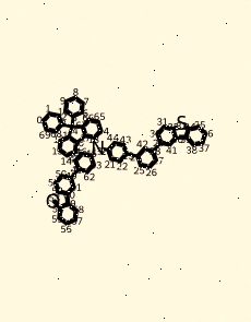 c1ccc(C2(c3ccccc3)c3ccccc3-c3c(N(c4ccc(-c5cccc(-c6ccc7sc8ccccc8c7c6)c5)cc4)c4ccc(-c5ccc6oc7ccccc7c6c5)cc4)cccc32)cc1